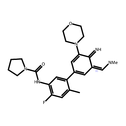 CN/C=C1/C=C(c2cc(NC(=O)N3CCCC3)c(F)cc2C)C=C(N2CCOCC2)C1=N